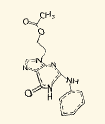 CC(=O)OCCn1cnc2c(=O)[nH]c(Nc3ccccc3)nc21